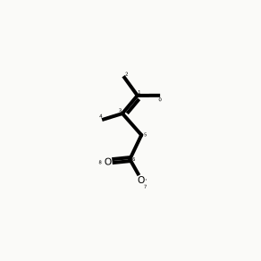 CC(C)=C(C)CC([O])=O